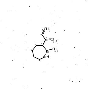 C=CC(=C)C1CCCCNC1C